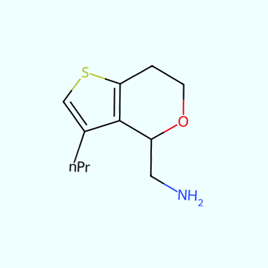 CCCc1csc2c1C(CN)OCC2